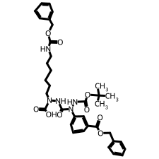 CC(C)(C)OC(=O)NN(C(=O)NN(CCCCCCNC(=O)OCc1ccccc1)C(=O)O)c1cccc(C(=O)OCc2ccccc2)c1